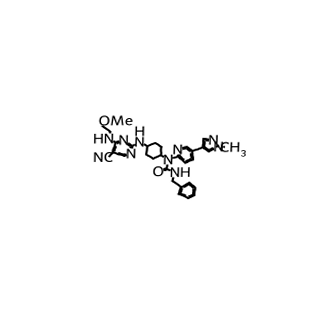 COCCNc1nc(NC2CCC(N(C(=O)NCc3ccccc3)c3ccc(-c4cnn(C)c4)cn3)CC2)ncc1C#N